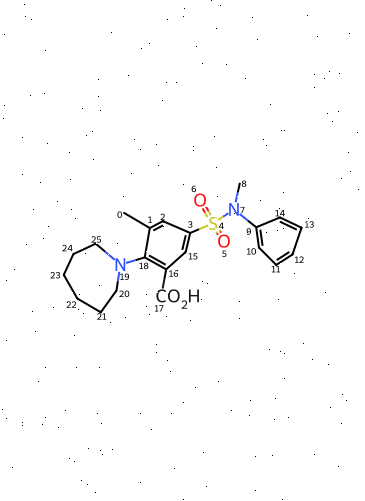 Cc1cc(S(=O)(=O)N(C)c2ccccc2)cc(C(=O)O)c1N1CCCCCC1